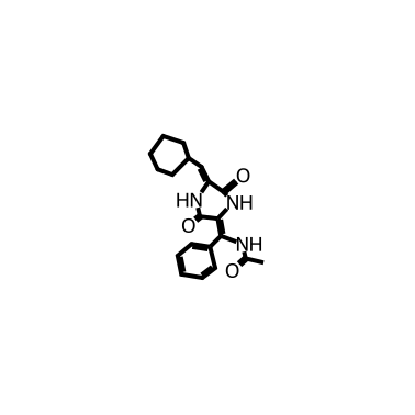 CC(=O)N/C(c1ccccc1)=c1\[nH]c(=O)/c(=C/C2CCCCC2)[nH]c1=O